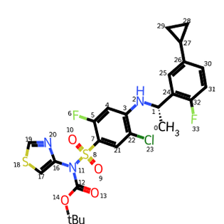 C[C@H](Nc1cc(F)c(S(=O)(=O)N(C(=O)OC(C)(C)C)c2cscn2)cc1Cl)c1cc(C2CC2)ccc1F